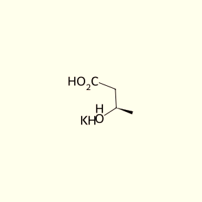 C[C@@H](O)CC(=O)O.[KH]